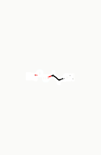 CCOOCCC#N